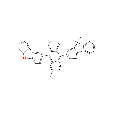 Cc1ccc2c(-c3ccc4c(c3)C(C)(C)c3ccccc3-4)c3ccccc3c(-c3ccc4oc5ccccc5c4c3)c2c1